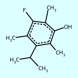 Cc1c(O)c(C)c(C(C)C)c(C)c1F